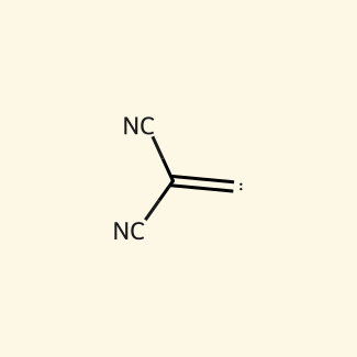 [C]=C(C#N)C#N